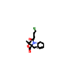 CC1(C)OC(=O)C1(C[C@@H]1C=CCCC1)NC(=O)CCCCl